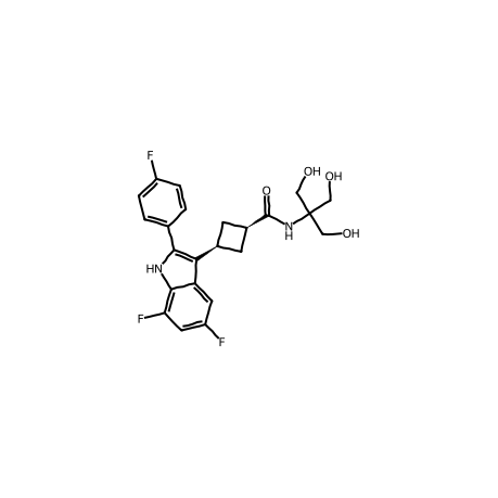 O=C(NC(CO)(CO)CO)[C@H]1C[C@@H](c2c(-c3ccc(F)cc3)[nH]c3c(F)cc(F)cc32)C1